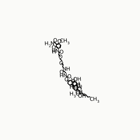 CCCCCC[C@](C)(O)[C@H]1CC[C@H]2[C@@H]3C[C@H](O)[C@H]4C[C@@H](OC(=O)NCC(=O)NCCOCCOCC(=O)Nc5ccc(OC)c(C(N)=O)c5O)CC[C@]4(C)[C@H]3CC[C@@]21C